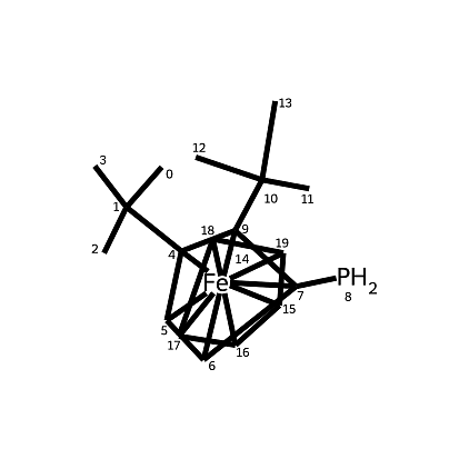 CC(C)(C)[C]12[CH]3[CH]4[C]5(P)[C]1(C(C)(C)C)[Fe]43521678[CH]2[CH]1[CH]6[CH]7[CH]28